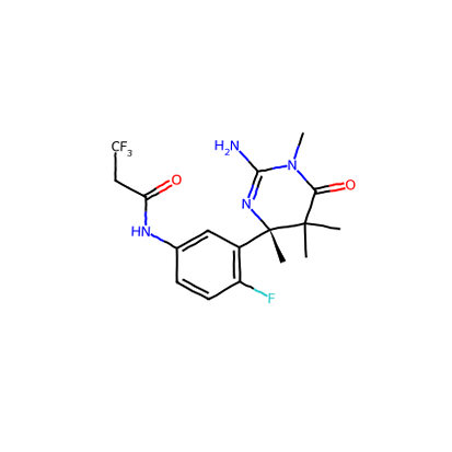 CN1C(=O)C(C)(C)[C@](C)(c2cc(NC(=O)CC(F)(F)F)ccc2F)N=C1N